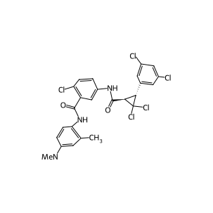 CNc1ccc(NC(=O)c2cc(NC(=O)[C@H]3[C@H](c4cc(Cl)cc(Cl)c4)C3(Cl)Cl)ccc2Cl)c(C)c1